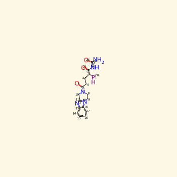 CP[C@@H](CCC(=O)N1CCn2c(nc3ccccc32)C1)C(=O)NC(N)=O